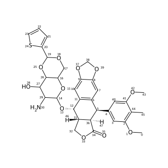 COc1cc([C@@H]2c3cc4c(cc3[C@@H](OC3OC5COC(c6cccs6)OC5C(O)C3N)[C@H]3COC(=O)[C@H]23)OCO4)cc(OC)c1C